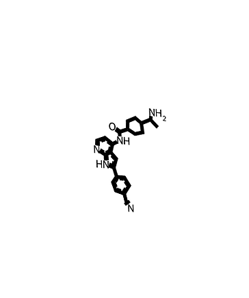 CC(N)C1CCC(C(=O)Nc2ccnc3[nH]c(-c4ccc(C#N)cc4)cc23)CC1